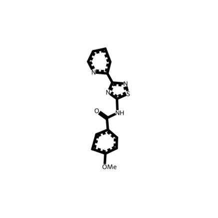 COc1ccc(C(=O)Nc2nc(-c3ccccn3)ns2)cc1